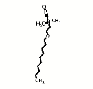 CCCCCCCCCCOCC[N+](C)(C)C#P=O